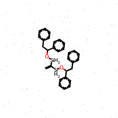 C=C([SiH2]OC(Cc1ccccc1)c1ccccc1)[SiH2]OC(Cc1ccccc1)c1ccccc1